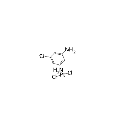 N.Nc1cccc(Cl)c1.[Cl][Pt][Cl]